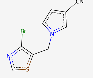 N#Cc1ccn(Cc2scnc2Br)c1